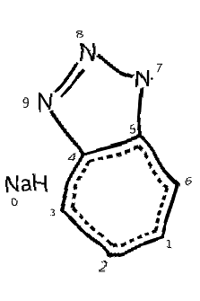 [NaH].c1ccc2c(c1)[N]N=N2